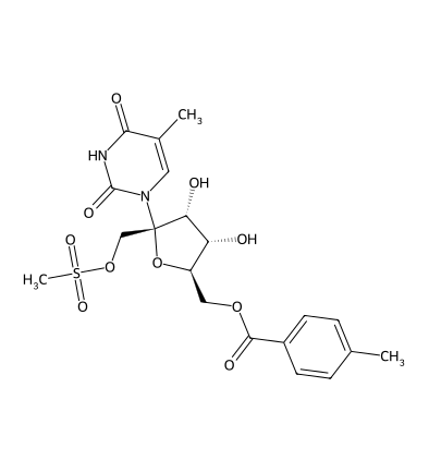 Cc1ccc(C(=O)OC[C@H]2O[C@](COS(C)(=O)=O)(n3cc(C)c(=O)[nH]c3=O)[C@H](O)[C@@H]2O)cc1